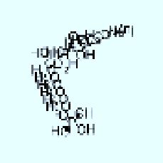 O.O.O.O.O.O.O.O.O.O.O=C(O)O.O=P(O)(O)O.OB(O)O.[LiH].[NaH].[Zn]